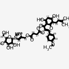 COc1ccc(-c2oc3c(CC=C(C)C)c(O)cc(O)c3c(=O)c2OC(=O)CCC(=O)OCc2cn([C@H]3O[C@@H](CO)[C@H](O)[C@@H](O)[C@@H]3O)nn2)cc1